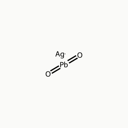 [Ag].[O]=[Pb]=[O]